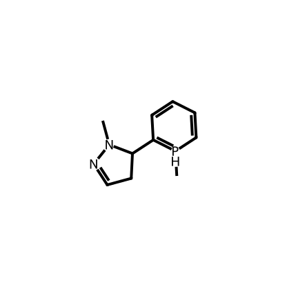 CN1N=CCC1C1=[PH](C)C=CC=C1